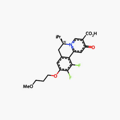 COCCCOc1cc2c(c(F)c1F)-c1cc(=O)c(C(=O)O)cn1[C@H](C(C)C)C2